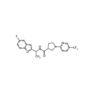 CC(NC(=O)C1CCN(c2ccc(C(F)(F)F)cn2)C1)c1cc2cc(F)ccc2o1